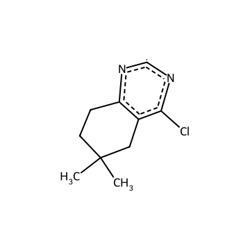 CC1(C)CCc2n[c]nc(Cl)c2C1